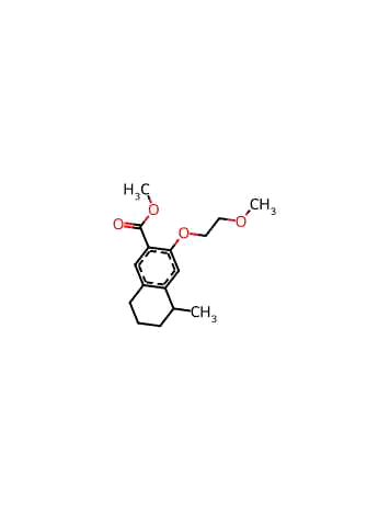 COCCOc1cc2c(cc1C(=O)OC)CCCC2C